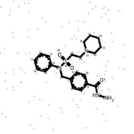 NNC(=O)c1ccc(CN(c2ccccc2)S(=O)(=O)CCN2CCCCC2)cc1